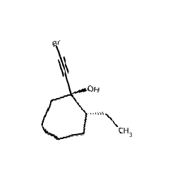 CC[C@@H]1CCCC[C@]1(O)C#CBr